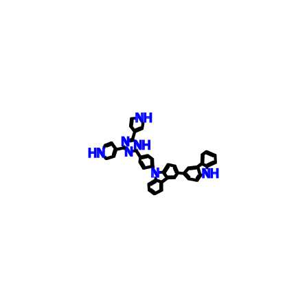 C1=CC(C2=NC(c3ccc(-n4c5ccccc5c5cc(-c6ccc7[nH]c8ccccc8c7c6)ccc54)cc3)NC(C3=CCNC=C3)=N2)=CCN1